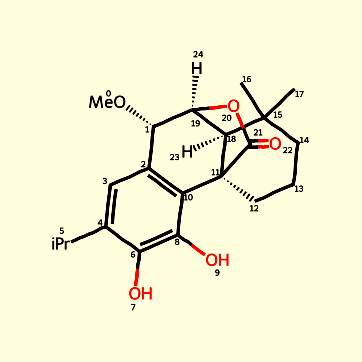 CO[C@H]1c2cc(C(C)C)c(O)c(O)c2[C@@]23CCCC(C)(C)[C@@H]2[C@@H]1OC3=O